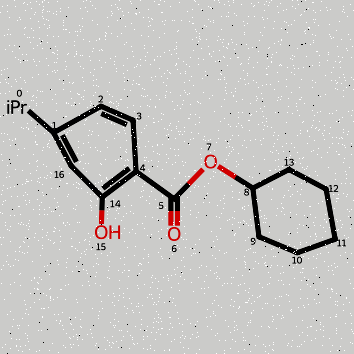 CC(C)c1ccc(C(=O)OC2CCCCC2)c(O)c1